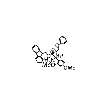 COc1ccc(C(N)(NC(=O)COc2ccccc2)C(=O)OCC2c3ccccc3-c3ccccc32)c(OC)c1